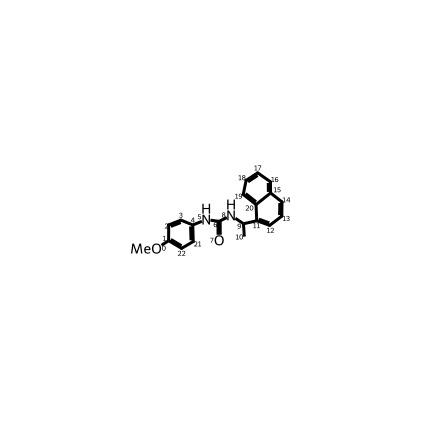 COc1ccc(NC(=O)NC(C)c2cccc3ccccc23)cc1